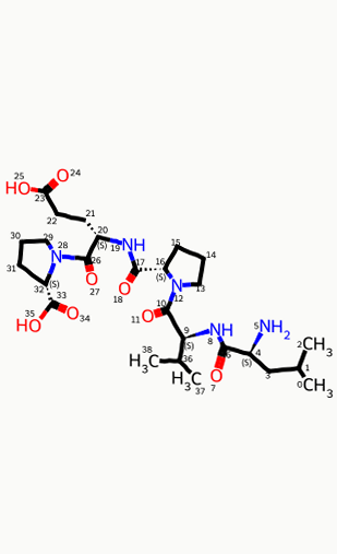 CC(C)C[C@H](N)C(=O)N[C@H](C(=O)N1CCC[C@H]1C(=O)N[C@@H](CCC(=O)O)C(=O)N1CCC[C@H]1C(=O)O)C(C)C